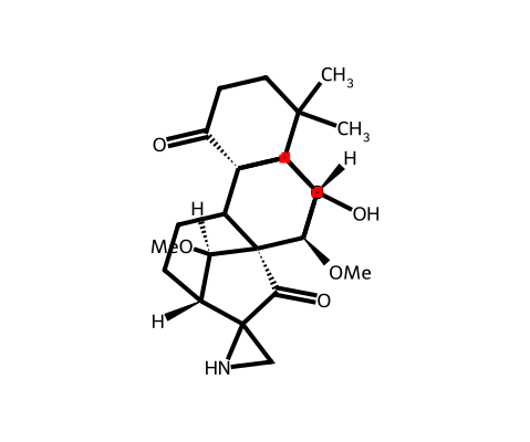 CO[C@@H]1[C@H]2CCC3[C@@]45CO[C@@](OC)([C@@H](O)C4C(C)(C)CCC5=O)[C@]31C(=O)C21CN1